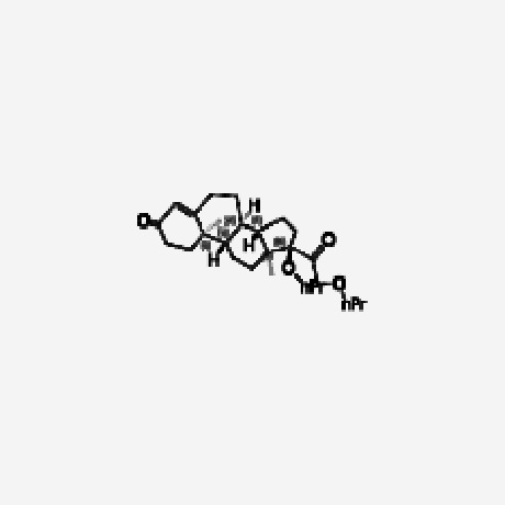 CCCOCC(=O)[C@@]1(OCCC)CC[C@H]2[C@@H]3CCC4=CC(=O)CC[C@]4(C)[C@H]3CC[C@@]21C